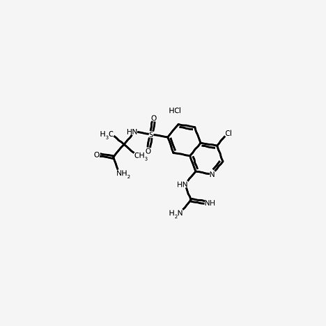 CC(C)(NS(=O)(=O)c1ccc2c(Cl)cnc(NC(=N)N)c2c1)C(N)=O.Cl